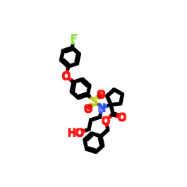 O=C(OCc1ccccc1)C1(N(CCCO)S(=O)(=O)c2ccc(Oc3ccc(F)cc3)cc2)CCCC1